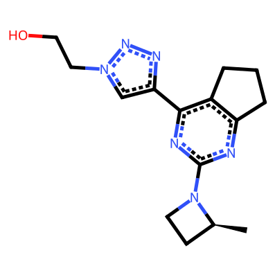 C[C@H]1CCN1c1nc2c(c(-c3cn(CCO)nn3)n1)CCC2